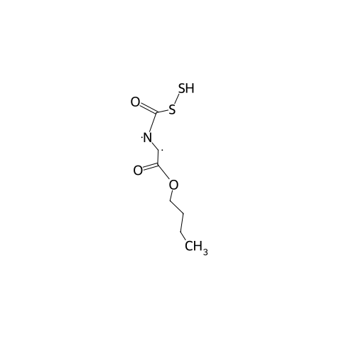 CCCCOC(=O)[CH][N]C(=O)SS